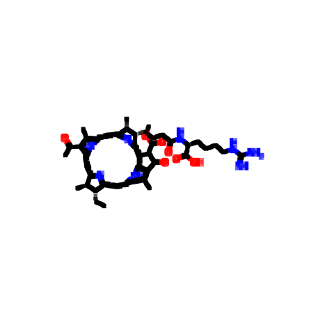 CC[C@H]1c2cc3[nH]c4c(c3C)C(=O)C(C(=O)OC)c4c3nc(cc4[nH]c(cc(n2)[C@@H]1C)c(C(C)=O)c4C)[C@@H](C)[C@@H]3CCCC(=O)N[C@@H](CCCCNC(=N)N)C(=O)O